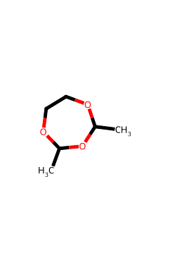 CC1OCCOC(C)O1